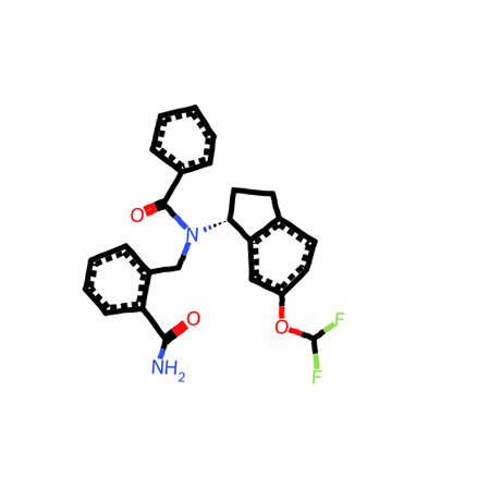 NC(=O)c1ccccc1CN(C(=O)c1ccccc1)[C@@H]1CCc2ccc(OC(F)F)cc21